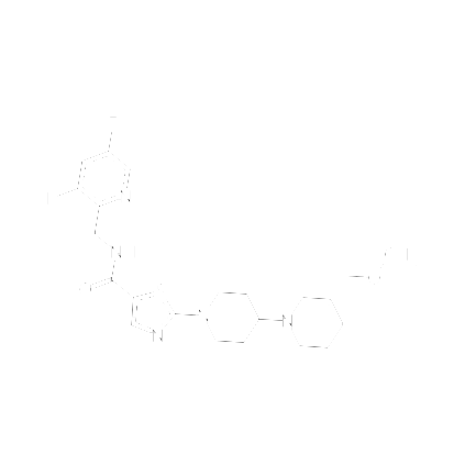 COC[C@@H]1CCCN(C2CCN(c3ncc(C(=O)NCc4ncc(F)cc4F)s3)CC2)C1